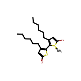 CCCCCCC1=C(c2sc(Br)cc2CCCCCC)S(=[SiH2])C(Br)=C1